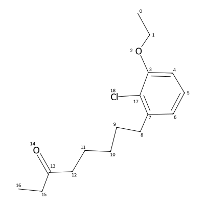 CCOc1cccc(CCCCCC(=O)CC)c1Cl